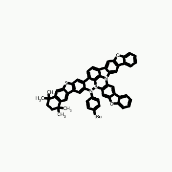 CC(C)(C)c1ccc(N2B3c4cc5oc6ccccc6c5cc4-n4c5cc6c(cc5c5ccc(c3c54)-c3cc4sc5cc7c(cc5c4cc32)C(C)(C)CCC7(C)C)oc2ccccc26)cc1